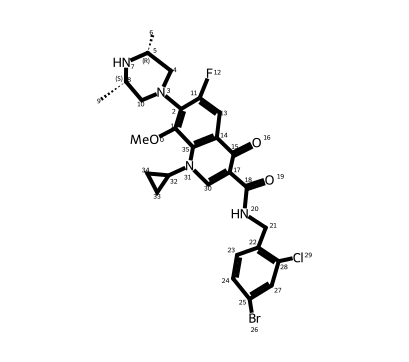 COc1c(N2C[C@@H](C)N[C@@H](C)C2)c(F)cc2c(=O)c(C(=O)NCc3ccc(Br)cc3Cl)cn(C3CC3)c12